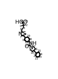 CC(C)(CCc1ncc(-c2ccc(NC(=O)N3CCC(c4ccccc4)CC3)cc2)s1)C(=O)O